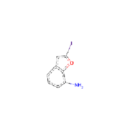 Nc1cccc2cc(I)oc12